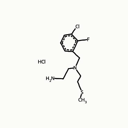 CSCCN(CCN)Cc1cccc(Cl)c1F.Cl